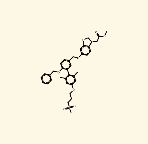 COC(=O)C[C@@H]1COc2cc(OCc3ccc(OCc4ccccc4)c(-c4c(C)cc(OCCCS(C)(=O)=O)cc4C)c3)ccc21